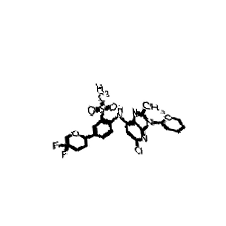 Cc1nc2c(Nc3ccc(C4CCC(F)(F)CO4)cc3S(C)(=O)=O)cc(Cl)nc2n1C1CCCCO1